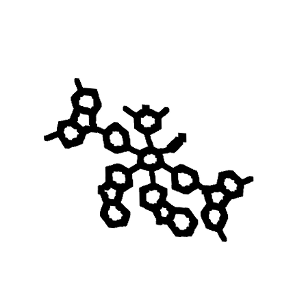 Cc1ccc2c(c1)c1cc(C)ccc1n2-c1ccc(-c2c(C#N)c(-c3cc(C)nc(C)c3)c(-c3ccc(-n4c5ccc(C)cc5c5cc(C)ccc54)cc3)c(-c3ccc4sc5ccccc5c4c3)c2-c2ccc3sc4ccccc4c3c2)cc1